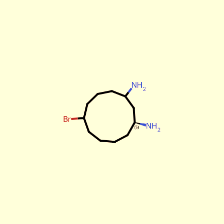 NC1CCCC(Br)CCCC[C@H](N)C1